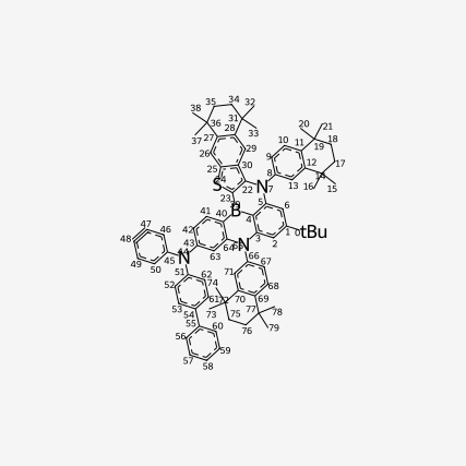 CC(C)(C)c1cc2c3c(c1)N(c1ccc4c(c1)C(C)(C)CCC4(C)C)c1c(sc4cc5c(cc14)C(C)(C)CCC5(C)C)B3c1ccc(N(c3cc#ccc3)c3ccc(-c4ccccc4)cc3)cc1N2c1ccc2c(c1)C(C)(C)CCC2(C)C